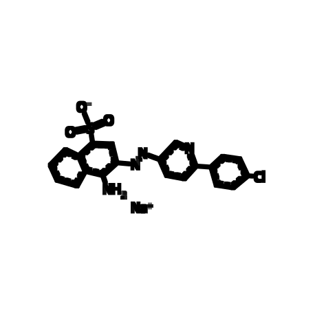 Nc1c(N=Nc2ccc(-c3ccc(Cl)cc3)nc2)cc(S(=O)(=O)[O-])c2ccccc12.[Na+]